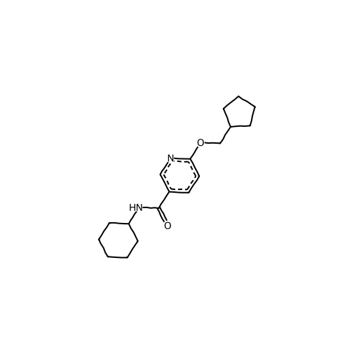 O=C(NC1CCCCC1)c1ccc(OCC2CCCC2)nc1